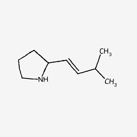 CC(C)/C=C/C1CCCN1